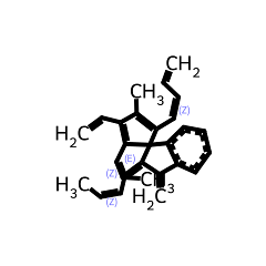 C=C/C=C\C1=C(C)C(C=C)=C(/C=C\C)C12/C(=C/C=C\C)C(=C)c1ccccc12